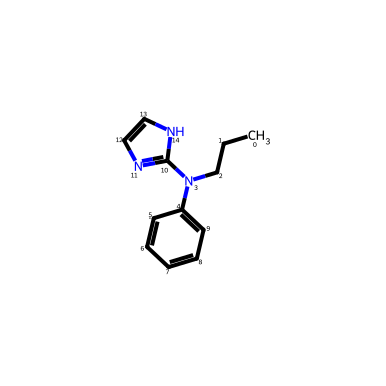 CCCN(c1[c]cccc1)c1ncc[nH]1